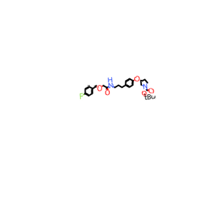 CC(C)(C)OC(=O)N1CC[C@@H](Oc2ccc(CCCNC(=O)COCc3ccc(F)cc3)cc2)C1